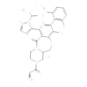 C=CC(=O)N1CCN2C(=O)c3c(-c4ccnn4C(C)C)nc(-c4c(F)cccc4OC)c(Cl)c3OC[C@H]2C1